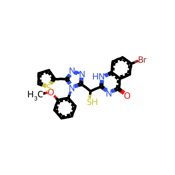 COc1ccccc1-n1c(-c2cccs2)nnc1C(S)c1nc(=O)c2cc(Br)ccc2[nH]1